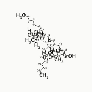 CCCCCCCCC(CN(CCCCCCO)CC(CCCCCCCC)O[Si](C)(C)C(C)(C)C)O[Si](C)(C)C(C)(C)C